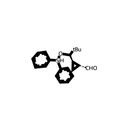 CC(C)(C)C(O[SiH](c1ccccc1)c1ccccc1)[C@@H]1C[C@H]1C=O